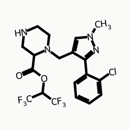 Cn1cc(CN2CCNCC2C(=O)OC(C(F)(F)F)C(F)(F)F)c(-c2ccccc2Cl)n1